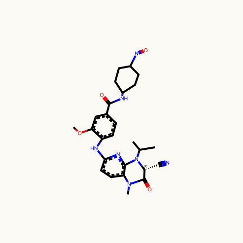 COc1cc(C(=O)NC2CCC(N=O)CC2)ccc1Nc1ccc2c(n1)N(C(C)C)[C@H](C#N)C(=O)N2C